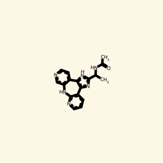 CC(=O)NC(C)c1nc2c([nH]1)-c1ccncc1Nc1ncccc1-2